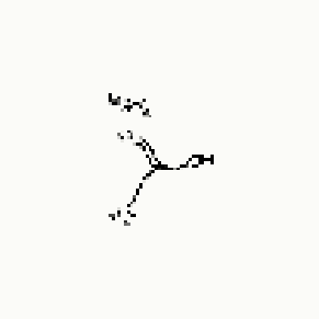 [CH2]C(=O)O.[MgH2]